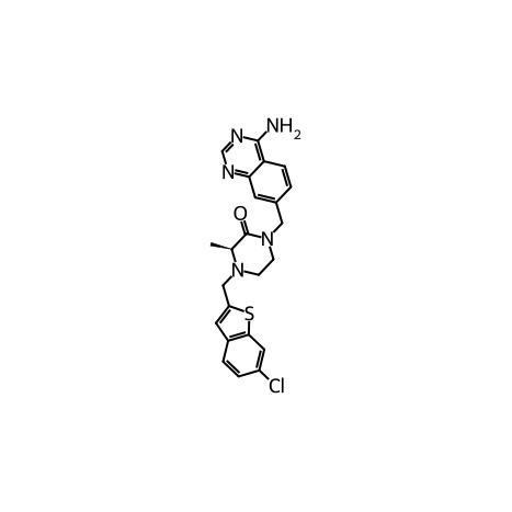 C[C@H]1C(=O)N(Cc2ccc3c(N)ncnc3c2)CCN1Cc1cc2ccc(Cl)cc2s1